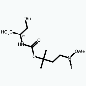 CON(I)CCC(C)(C)OC(=O)N[C@H](CC(C)(C)C)C(=O)O